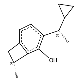 C[C@@H]1Cc2ccc([C@@H](C)C3CC3)c(O)c21